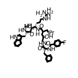 CC(C)CC(C[C@H](O)CNC(=O)[C@H](Cc1ccccc1)NC(=O)c1ccc(F)cc1)C(=O)N[C@@H](CCCNC(N)N)C(=O)C(=O)[C@H](Cc1c[nH]c2ccccc12)NN